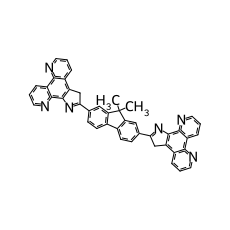 CC1(C)c2cc(C3=Nc4c(c5cccnc5c5cccnc45)C3)ccc2-c2ccc(C3=Nc4c(c5cccnc5c5cccnc45)C3)cc21